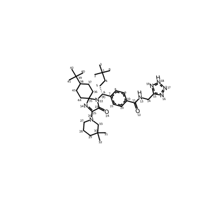 CC(C)(C)CC[C@H](c1ccc(C(=O)NCc2nn[nH]n2)cc1)N1C(=O)C(N2CCCC(C)(C)C2)=NC12CCC(C(C)(C)C)CC2